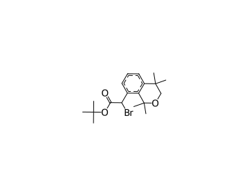 CC(C)(C)OC(=O)C(Br)c1cccc2c1C(C)(C)OCC2(C)C